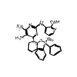 COc1ncccc1Nc1nc(N)c(N)c([C@@H]2CCCC[C@@H]2O[Si](c2ccccc2)(c2ccccc2)C(C)(C)C)n1